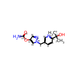 CC(C)(O)c1ccc(Cn2cc(OC(N)=O)cn2)cn1